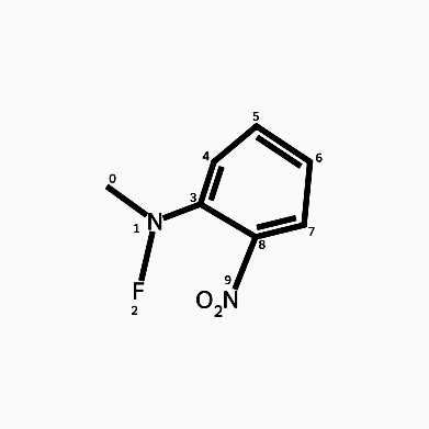 CN(F)c1ccccc1[N+](=O)[O-]